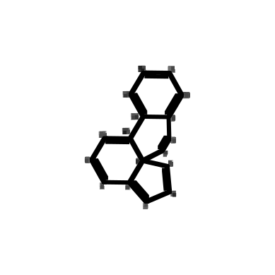 C1=CC2=CC=CC23C=Cc2ccccc2C3=C1